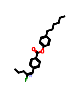 CCCCCCc1ccc(OC(=O)c2ccc(/C=C(/F)CCC)cc2)cc1